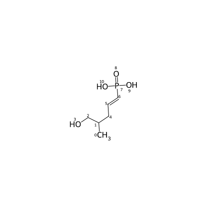 CC(CO)C/C=C/P(=O)(O)O